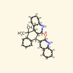 CC1(C)c2ccccc2B2c3cc4ccccc4nc3Oc3nc4ccccc4c1c32